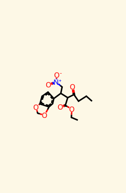 CCCC(=O)C(C(=O)OCC)C(C[N+](=O)[O-])c1ccc2c(c1)OCO2